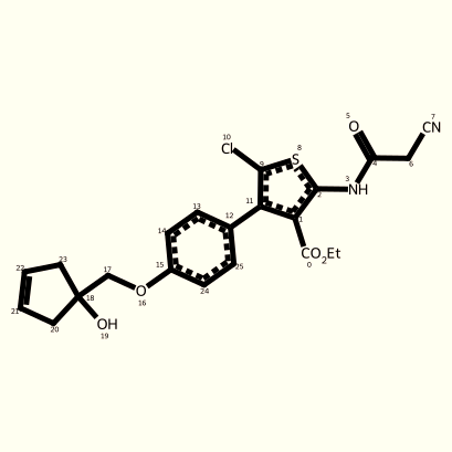 CCOC(=O)c1c(NC(=O)CC#N)sc(Cl)c1-c1ccc(OCC2(O)CC=CC2)cc1